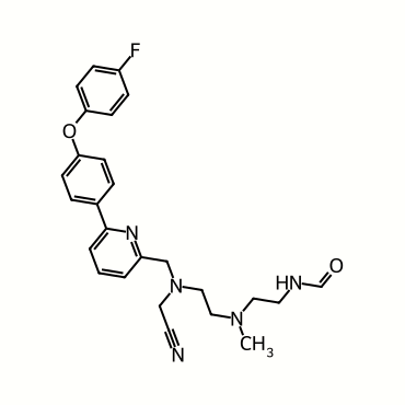 CN(CCNC=O)CCN(CC#N)Cc1cccc(-c2ccc(Oc3ccc(F)cc3)cc2)n1